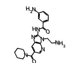 NCCn1c(NC(=O)c2cccc(N)c2)nc2cc(C(=O)N3CCCCC3)cnc21